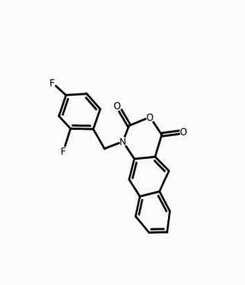 O=c1oc(=O)n(Cc2ccc(F)cc2F)c2cc3ccccc3cc12